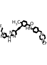 Cc1ccc(C(=O)Nc2ccc(CN3CCN(C)CC3)cc2)cc1C#Cc1cnc(Nc2cnn(CCF)c2)nc1